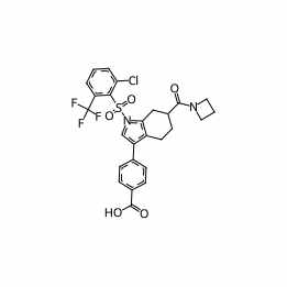 O=C(O)c1ccc(-c2cn(S(=O)(=O)c3c(Cl)cccc3C(F)(F)F)c3c2CCC(C(=O)N2CCC2)C3)cc1